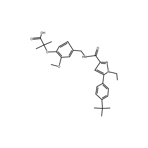 CCn1nc(C(=O)NCc2ccc(OC(C)(C)C(=O)O)c(OC)c2)cc1-c1ccc(C(C)(C)C)cc1